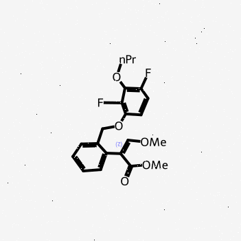 CCCOc1c(F)ccc(OCc2ccccc2/C(=C/OC)C(=O)OC)c1F